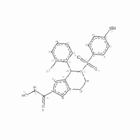 CC(C)(C)c1ccc(S(=O)(=O)N2CCc3cc(C(=O)NO)sc3C2c2ccccc2F)cc1